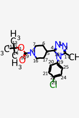 Cc1nnc(C2CCN(C(=O)OC(C)(C)C)CC2)n1-c1ccc(Cl)cc1